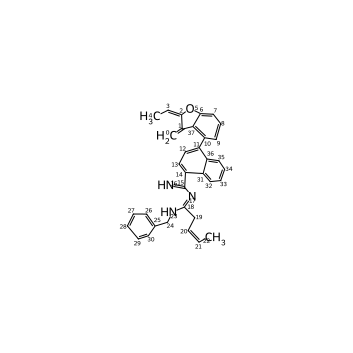 C=c1/c(=C\C)oc2cccc(-c3ccc(C(=N)/N=C(/C/C=C\C)NCc4ccccc4)c4ccccc34)c12